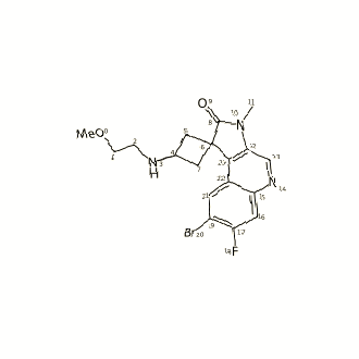 COCCNC1CC2(C1)C(=O)N(C)c1cnc3cc(F)c(Br)cc3c12